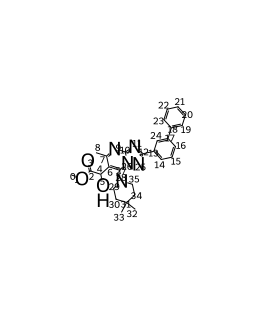 COC(=O)C(O)c1c(C)nc2nc(-c3cccc(-c4ccccc4)c3)nn2c1N1CCC(C)(C)CC1